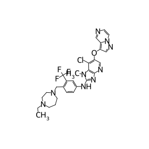 CCN1CCCN(Cc2ccc(Nc3nc4ncc(Oc5cnn6ccncc56)c(Cl)c4n3C)cc2C(F)(F)F)CC1